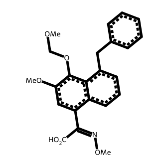 COCOc1c(OC)cc(C(=NOC)C(=O)O)c2cccc(Cc3ccccc3)c12